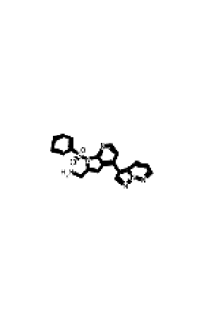 NCc1cc2c(-c3cnn4ncccc34)ccnc2n1S(=O)(=O)c1ccccc1